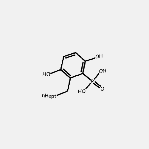 CCCCCCCCc1c(O)ccc(O)c1P(=O)(O)O